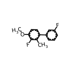 COc1ccc(-c2cccc(F)c2)c(C)c1F